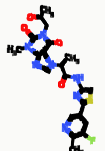 CC(=O)Cn1c(=O)c2c(ncn2C(C)C(=O)Nc2csc(-c3cnc(C)c(F)c3)n2)n(C)c1=O